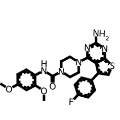 COc1ccc(NC(=O)N2CCN(c3nc(N)nc4scc(-c5ccc(F)cc5)c34)CC2)c(OC)c1